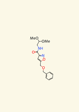 COC(CNC(=O)c1cc(COCc2ccccc2)on1)OC